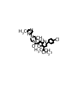 Cc1cncc(N2CCN(C(=O)c3cc4nc(-c5ccc(Cl)cc5)cc(C(C)(C)C)c4o3)C(C)(C)C2)n1